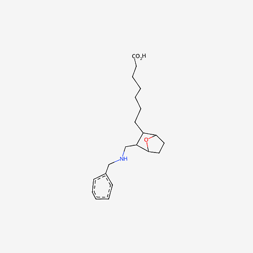 O=C(O)CCCCCCC1C2CCC(O2)C1CNCc1ccccc1